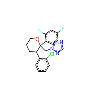 Fc1ccc(C2(Cn3[c]ncn3)OCCCC2c2ccccc2Cl)c(F)c1